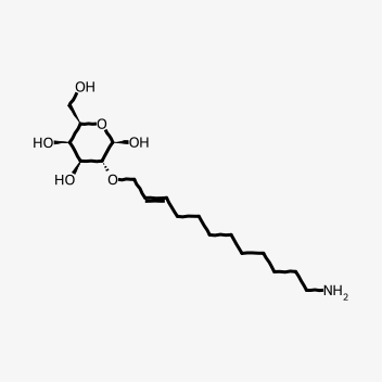 NCCCCCCCCC/C=C/CO[C@@H]1[C@@H](O)[C@@H](O)[C@@H](CO)O[C@H]1O